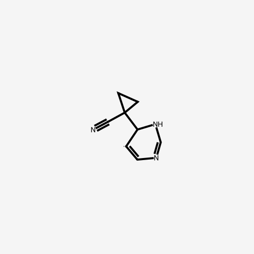 N#CC1(C2[C]=CN=CN2)CC1